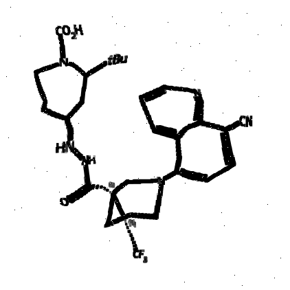 CC(C)(C)C1CC(NNC(=O)[C@]23CN(c4ccc(C#N)c5ncccc45)C[C@@]2(C(F)(F)F)C3)CCN1C(=O)O